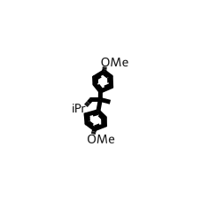 COc1ccc(C(C)(CC(C)C)c2ccc(OC)cc2)cc1